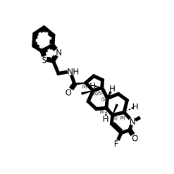 CN1C(=O)C(F)=C[C@]2(C)[C@H]3CC[C@]4(C)[C@@H](C(=O)NCc5nc6ccccc6s5)CC[C@H]4[C@@H]3CC[C@@H]12